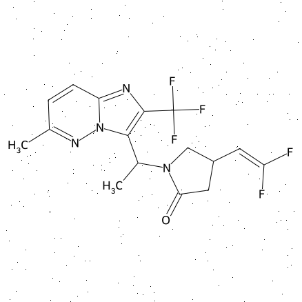 Cc1ccc2nc(C(F)(F)F)c(C(C)N3CC(C=C(F)F)CC3=O)n2n1